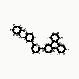 c1cc(-c2ccc3c(c2)Sc2ccccc2S3)nc(-c2ccc3c4ccccc4c4ccccc4c3c2)c1